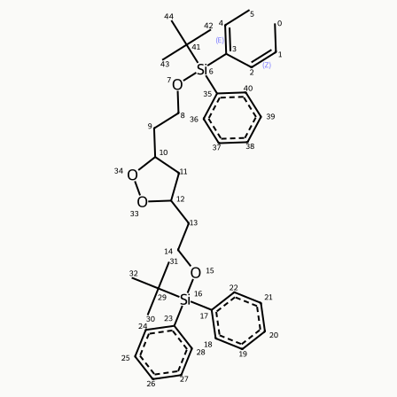 C/C=C\C(=C/C)[Si](OCCC1CC(CCO[Si](c2ccccc2)(c2ccccc2)C(C)(C)C)OO1)(c1ccccc1)C(C)(C)C